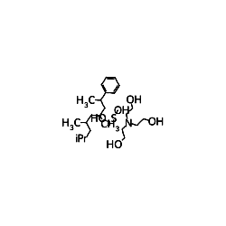 CC(C)CC(C)CC(C)CC(C)c1ccccc1.O=S(=O)(O)O.OCCN(CCO)CCO